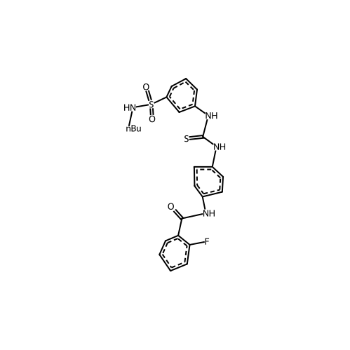 CCCCNS(=O)(=O)c1cccc(NC(=S)Nc2ccc(NC(=O)c3ccccc3F)cc2)c1